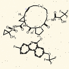 CC1(S(=O)(=O)NC(=O)[C@@]23C[C@H]2/C=C\CCCCC[C@H](NC(=O)[C@H](O)C(F)(F)F)C(=O)N2C[C@H](Oc4nc5cc(F)ccc5c5ccc(OC(F)(F)F)cc45)C[C@H]2C(=O)N3)CC1